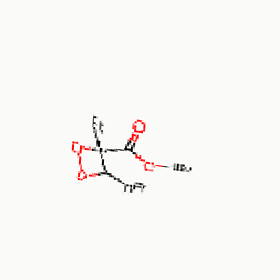 CCCC1OOC1(CC)C(=O)OC(C)(C)C